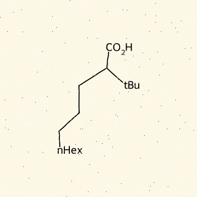 CCCCCCCCCC(C(=O)O)C(C)(C)C